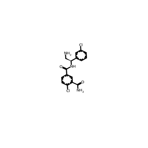 NC[C@H](NC(=O)c1ccc(Cl)c(C(N)=O)c1)c1cccc(Cl)c1